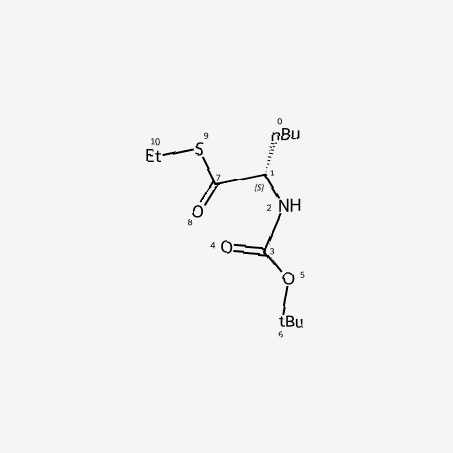 CCCC[C@H](NC(=O)OC(C)(C)C)C(=O)SCC